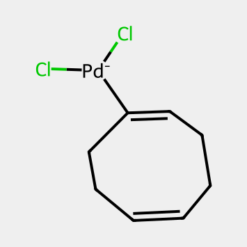 [Cl][Pd-]([Cl])[C]1=CCCC=CCC1